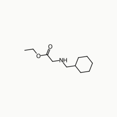 CCOC(=O)CNCC1CCCCC1